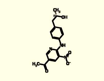 CC(=O)c1cnc(Nc2ccc(C[C@H](C)O)cc2)c([N+](=O)[O-])c1